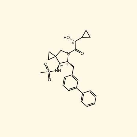 CS(=O)(=O)N[C@@H]1[C@H](Cc2cccc(-c3ccccc3)c2)N(C(=O)[C@H](O)C2CC2)CC12CC2